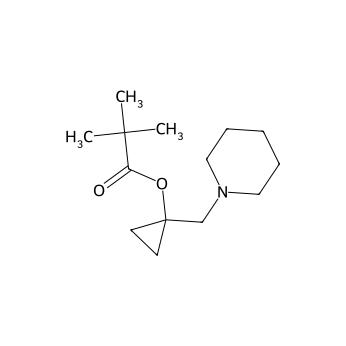 CC(C)(C)C(=O)OC1(CN2CCCCC2)CC1